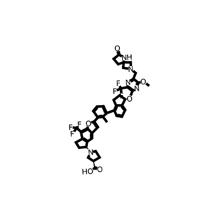 COc1nc(O[C@H]2CCc3c(-c4cccc(-c5cc6cc7c(c(C(F)(F)F)c6o5)CC[C@H]7N5CC[C@@H](C(=O)O)C5)c4C)cccc32)c(C(F)(F)F)nc1CN1CC2(CCC(=O)N2)C1